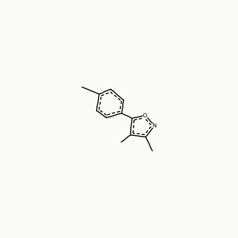 Cc1ccc(-c2onc(C)c2C)cc1